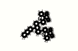 c1ccc2c(c1)Oc1c(-c3cccc4c(-c5ccc6cc7ccccc7cc6c5)c5cccc(-c6cccc7c6Oc6ccccc6C76c7ccccc7-c7ccccc76)c5cc34)cccc1C21c2ccccc2-c2ccccc21